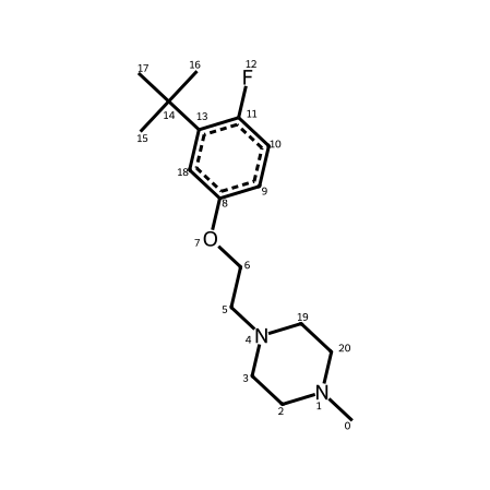 CN1CCN(CCOc2ccc(F)c(C(C)(C)C)c2)CC1